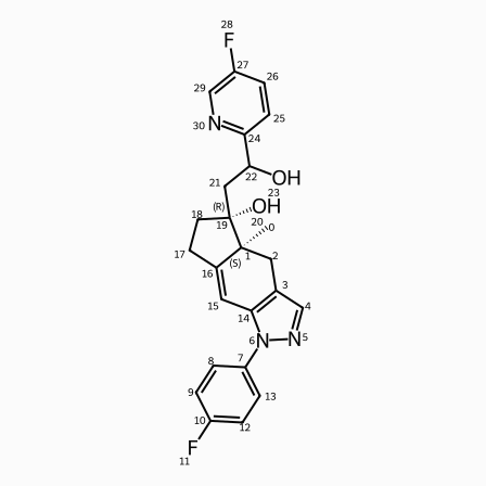 C[C@]12Cc3cnn(-c4ccc(F)cc4)c3C=C1CC[C@@]2(O)CC(O)c1ccc(F)cn1